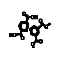 COC(=O)c1cccc(C(=O)OC)c1.O=C(O)c1ccc(C(=O)O)cc1